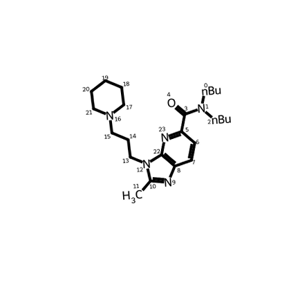 CCCCN(CCCC)C(=O)c1ccc2nc(C)n(CCCN3CCCCC3)c2n1